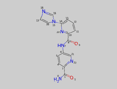 NC(=O)c1ccc(NC(=O)c2cccc(-n3ccnc3)n2)cn1